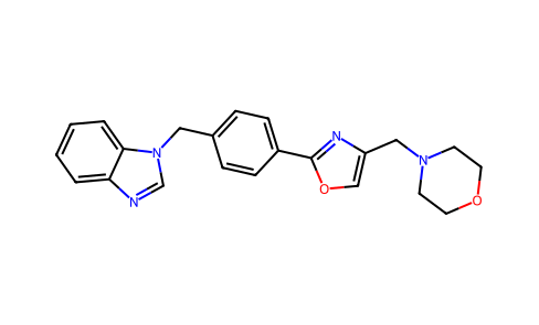 c1ccc2c(c1)ncn2Cc1ccc(-c2nc(CN3CCOCC3)co2)cc1